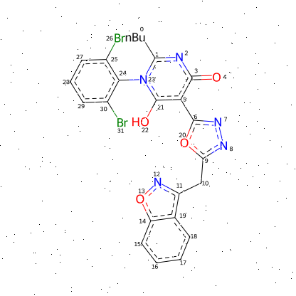 CCCCc1nc(=O)c(-c2nnc(Cc3noc4ccccc34)o2)c(O)n1-c1c(Br)cccc1Br